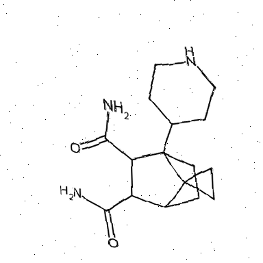 NC(=O)C1C2CCC(C3CCNCC3)(C1C(N)=O)C21CC1